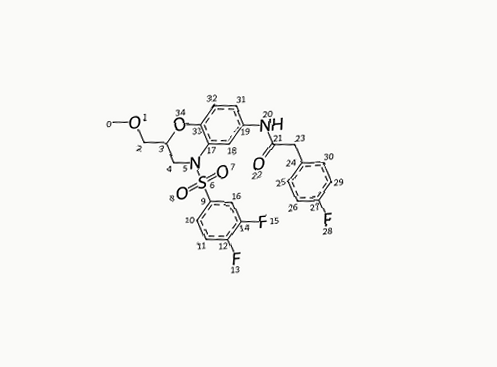 COCC1CN(S(=O)(=O)c2ccc(F)c(F)c2)c2cc(NC(=O)Cc3ccc(F)cc3)ccc2O1